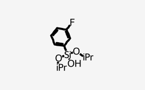 CC(C)O[Si](O)(OC(C)C)c1cccc(F)c1